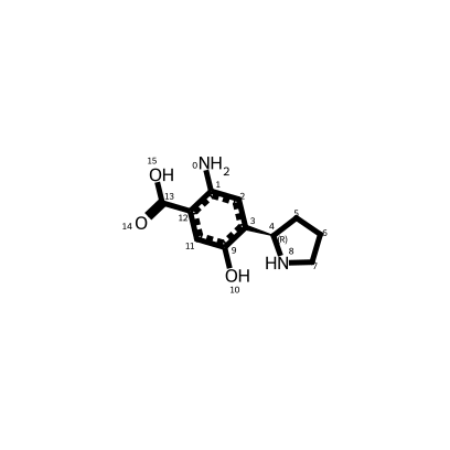 Nc1cc([C@H]2CCCN2)c(O)cc1C(=O)O